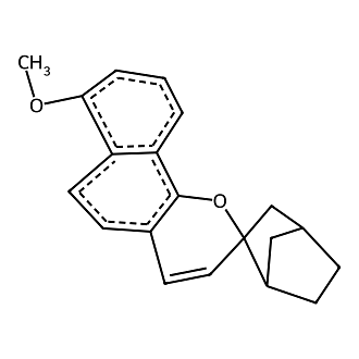 COc1cccc2c3c(ccc12)C=CC1(CC2CCC1C2)O3